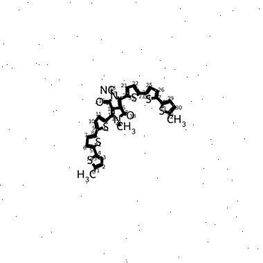 Cc1ccc(-c2ccc(-c3ccc(C4=C5C(=O)N(C#N)C(c6ccc(-c7ccc(-c8ccc(C)s8)s7)s6)=C5C(=O)N4C)s3)s2)s1